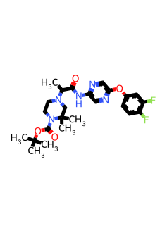 CC(C(=O)Nc1cnc(Oc2ccc(F)c(F)c2)cn1)N1CCN(C(=O)OC(C)(C)C)C(C)(C)C1